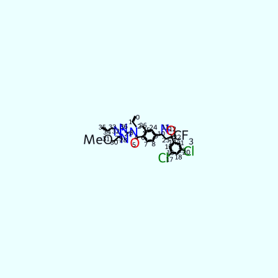 C=CCN(C(=O)c1ccc(C2=NOC(c3cc(Cl)cc(Cl)c3)(C(F)(F)F)C2)cc1C)c1nc(COC)n(CC=C)n1